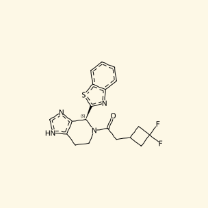 O=C(CC1CC(F)(F)C1)N1CCc2[nH]cnc2[C@H]1c1nc2ccccc2s1